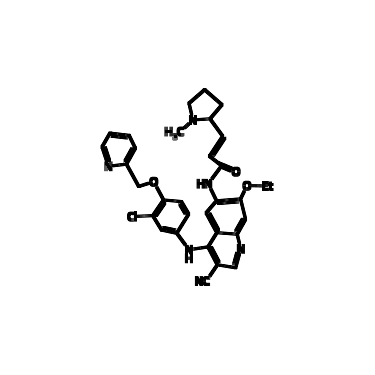 CCOc1cc2ncc(C#N)c(Nc3ccc(OCc4ccccn4)c(Cl)c3)c2cc1NC(=O)C=CC1CCCN1C